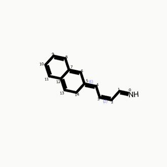 N=C/C=C\C=C1\C=c2ccccc2=CC1